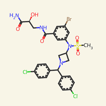 CS(=O)(=O)N(c1cc(Br)cc(C(=O)NC[C@H](O)C(N)=O)c1)C1CN(C(c2ccc(Cl)cc2)c2ccc(Cl)cc2)C1